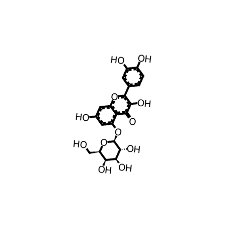 O=c1c(O)c(-c2ccc(O)c(O)c2)oc2cc(O)cc(O[C@@H]3O[C@H](CO)[C@H](O)[C@H](O)[C@H]3O)c12